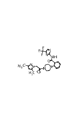 Cc1cc(C)n(CC(=O)N2CCN(c3ccccc3C(=O)Nc3nc(C(F)(F)F)cs3)CC2)n1